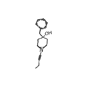 CCC#CN1CCC(O)(Cc2ccccc2)CC1